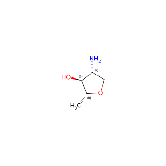 C[C@H]1OC[C@@H](N)[C@@H]1O